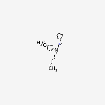 CCCCCCCN(C/C=C/c1ccccc1)c1ccc(OC)cc1